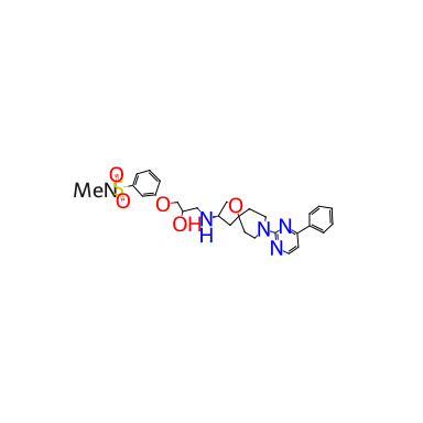 CNS(=O)(=O)c1cccc(OCC(O)CN[C@H]2COC3(CCN(c4nccc(-c5ccccc5)n4)CC3)C2)c1